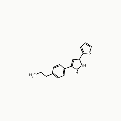 CCCc1ccc(C2=CC(c3cccs3)NN2)cc1